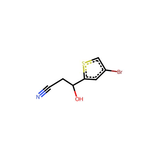 N#CCC(O)c1cc(Br)cs1